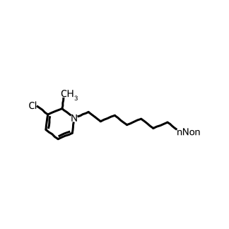 CCCCCCCCCCCCCCCCN1C=CC=C(Cl)C1C